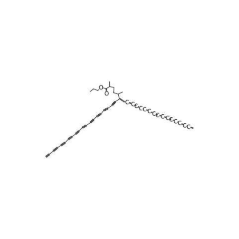 C#CC#CC#CC#CC#CC#CC#CC#CC#CC#CC(=C=C=C=C=C=C=C=C=C=C=C=C=C=C=C=C=C)C(C)CCC(C)C(=O)OCCC